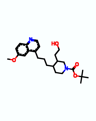 COc1ccc2nccc(CCCC3CCN(C(=O)OC(C)(C)C)CC3CCO)c2c1